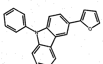 c1ccc(-n2c3ccccc3c3cc(-c4ccco4)ccc32)cc1